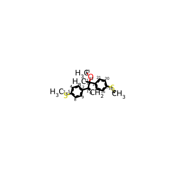 C=C(c1ccc(SC)cc1)C(C)(OC)c1ccc(SC)cc1